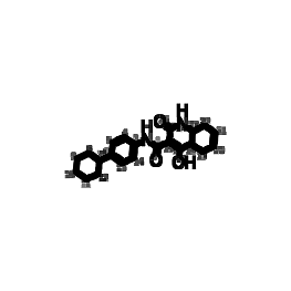 O=C(Nc1ccc(C2CCCCC2)cc1)C1=C(O)C2CC=CCC2NC1=O